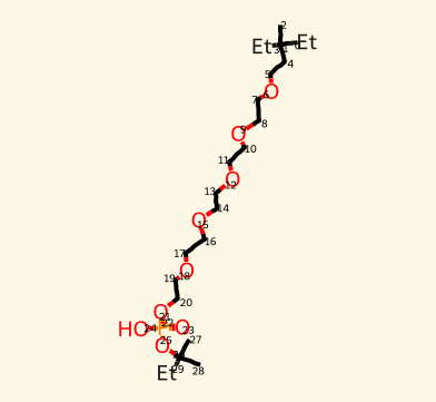 CCC(C)(CC)CCOCCOCCOCCOCCOCCOP(=O)(O)OC(C)(C)CC